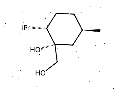 CC(C)[C@@H]1CC[C@@H](C)C[C@@]1(O)CO